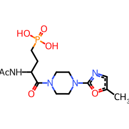 CC(=O)NC(CCP(=O)(O)O)C(=O)N1CCN(c2ncc(C)o2)CC1